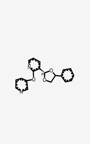 c1ccc(C2CO[C@@H](c3cccnc3Oc3cccnc3)O2)cc1